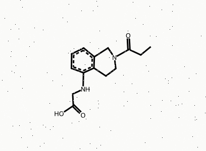 CCC(=O)N1CCc2c(cccc2NCC(=O)O)C1